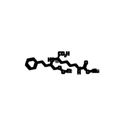 CCOOCC(CCc1ccccc1)N[C@@H](CCCCNC(=O)OC(C)(C)C)C(=O)O